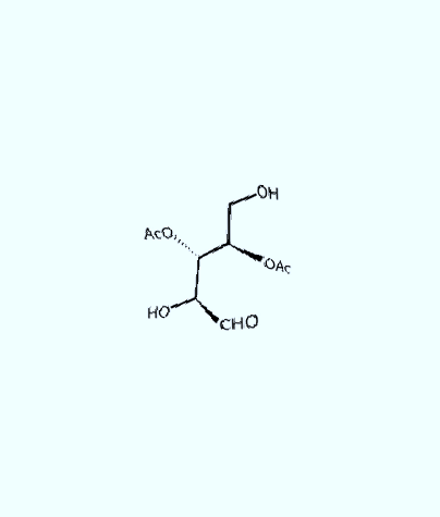 CC(=O)O[C@@H]([C@H](O)C=O)[C@@H](CO)OC(C)=O